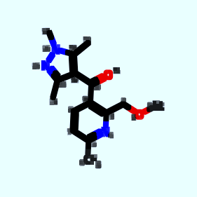 CCOCc1nc(C(F)(F)F)ccc1C(=O)c1c(C)nn(C)c1C